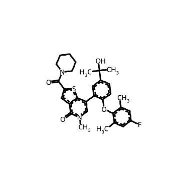 Cc1cc(F)cc(C)c1Oc1ccc(C(C)(C)O)cc1-c1cn(C)c(=O)c2cc(C(=O)N3CCCCC3)sc12